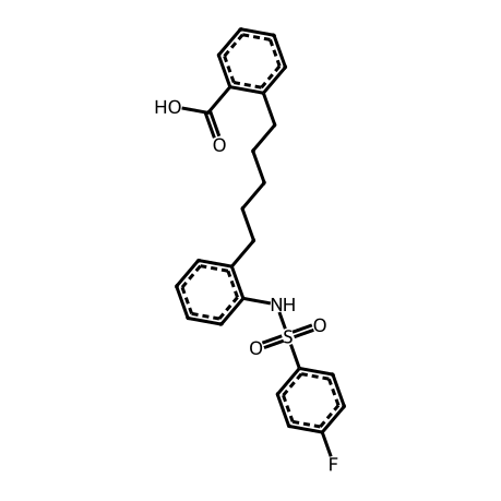 O=C(O)c1ccccc1CCCCCc1ccccc1NS(=O)(=O)c1ccc(F)cc1